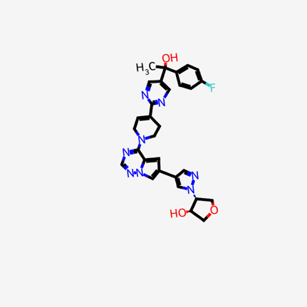 CC(O)(c1ccc(F)cc1)c1cnc(C2=CCN(c3ncnn4cc(-c5cnn([C@@H]6COC[C@H]6O)c5)cc34)CC2)nc1